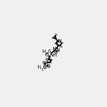 C[C@H](NC(=O)c1ccc(S(C)(=O)=O)s1)c1nc(-c2ccnc(C3CC3)c2)no1